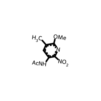 COc1nc([N+](=O)[O-])c(NC(C)=O)cc1C